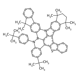 CC(C)(C)c1ccc(N2B3c4cc5c(cc4-n4c6cc7c(cc6c6c8c(sc9ccccc98)c(c3c64)-c3cc(C(C)(C)C)ccc32)C(C)(C)CCC7(C)C)-c2ccccc2C5(C)C)cc1